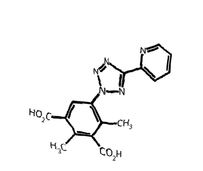 Cc1c(C(=O)O)cc(-n2nnc(-c3ccccn3)n2)c(C)c1C(=O)O